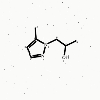 Cc1ccnn1CC(C)O